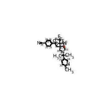 COC(C(F)(F)F)(C(F)(F)F)C1(CCc2ccc(C#N)cc2)CCN(C(C)(C)c2ccc(C)nc2)C1